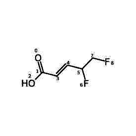 O=C(O)C=CC(F)CF